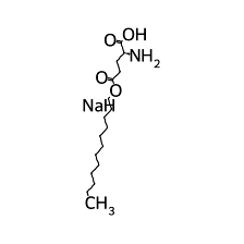 CCCCCCCCCCCCOC(=O)CC[C@H](N)C(=O)O.[NaH]